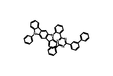 c1ccc(-c2cccc(-c3nc(-c4ccccc4)nc(-c4ccccc4-n4c5ccccc5c5cc6c(cc54)c4ccccc4n6-c4ccccc4)n3)c2)cc1